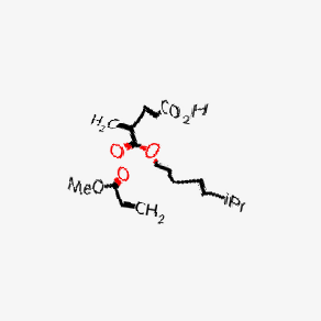 C=C(C=CC(=O)O)C(=O)OCCCCCC(C)C.C=CC(=O)OC